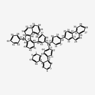 c1ccc(-c2ccccc2-c2ccc(N(c3ccc(-c4ccc5c(ccc6ccccc65)c4)cc3)c3cccc(-c4cccc5c4c4c6ccccc6ccc4n5-c4ccccc4)c3)cc2)cc1